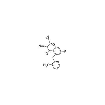 Cc1ccccc1Cc1cc(F)ccc1C(=O)C(C#N)C(=O)C1CC1